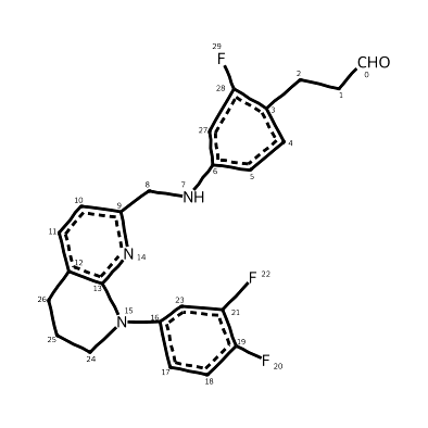 O=CCCc1ccc(NCc2ccc3c(n2)N(c2ccc(F)c(F)c2)CCC3)cc1F